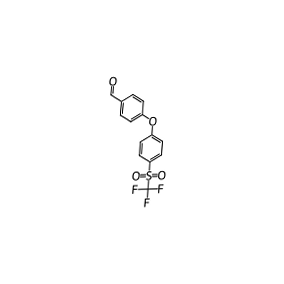 O=Cc1ccc(Oc2ccc(S(=O)(=O)C(F)(F)F)cc2)cc1